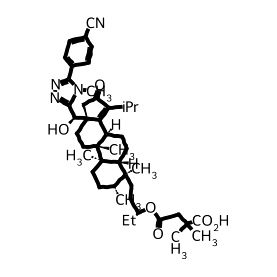 CC[C@H](CC[C@@]1(C)[C@H](C)CC[C@]2(C)[C@@H]1CC[C@@H]1C3=C(C(C)C)C(=O)C[C@]3([C@@H](O)c3nnc(-c4ccc(C#N)cc4)n3C)CC[C@]12C)OC(=O)CC(C)(C)C(=O)O